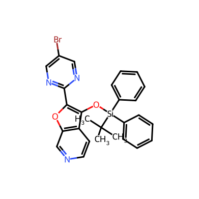 CC(C)(C)[Si](Oc1c(-c2ncc(Br)cn2)oc2cnccc12)(c1ccccc1)c1ccccc1